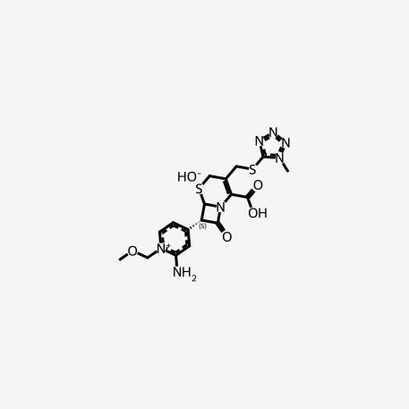 COC[n+]1ccc([C@H]2C(=O)N3C(C(=O)O)=C(CSc4nnnn4C)CSC23)cc1N.[OH-]